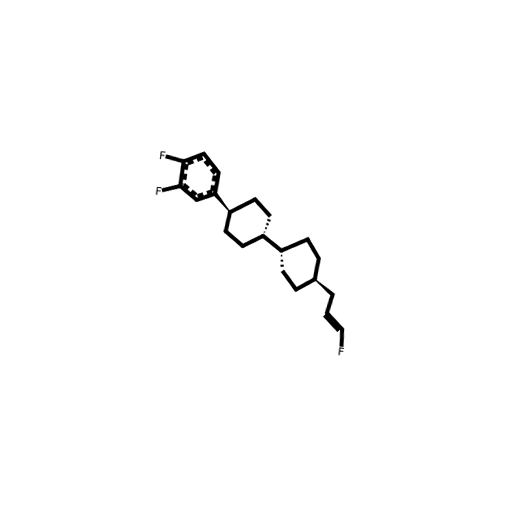 F/C=C/C[C@H]1CC[C@H]([C@H]2CC[C@H](c3ccc(F)c(F)c3)CC2)CC1